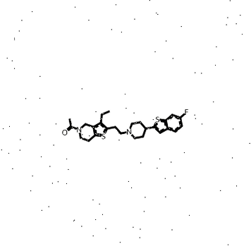 CCc1c(CCN2CCC(c3cc4ccc(F)cc4s3)CC2)sc2c1CN(C(C)=O)CC2